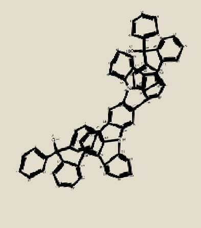 OC(c1ccccc1)(c1ccccc1)c1ccccc1-c1ccc2c3cc4c(cc3n3c5ccccc5c1c23)c1ccc(-c2ccccc2C(O)(c2ccccc2)c2ccccc2)c2c3ccccc3n4c12